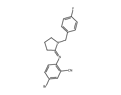 N#Cc1cc(Br)ccc1N=C1CCCN1Cc1ccc(F)cc1